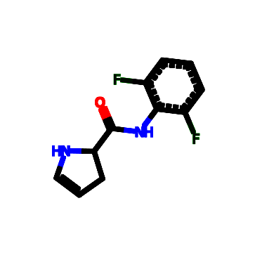 O=C(Nc1c(F)cccc1F)C1CC=CN1